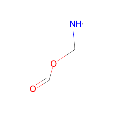 [NH]COC=O